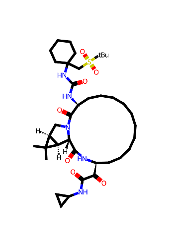 CC1(C)[C@@H]2[C@H]3C(=O)N[C@H](C(=O)C(=O)NC4CC4)CCCCCCCCCC[C@H](NC(=O)NC4(CS(=O)(=O)C(C)(C)C)CCCCC4)C(=O)N3C[C@@H]21